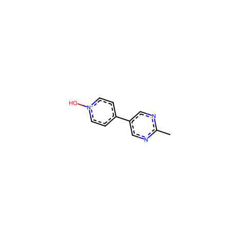 Cc1ncc(-c2cc[n+](O)cc2)cn1